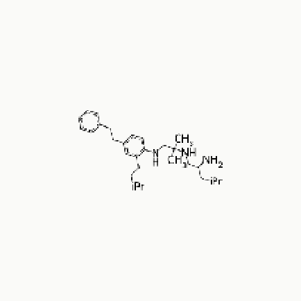 CC(C)CCc1cc(CCc2ccccc2)ccc1NCC(C)(C)NC[C@@H](N)CC(C)C